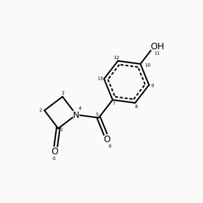 O=C1CCN1C(=O)c1ccc(O)cc1